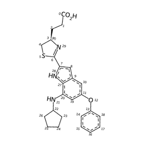 O=C(O)CC[C@@H]1CSC(c2cc3cc(Oc4ccccc4)cc(NC4CCCC4)c3[nH]2)=N1